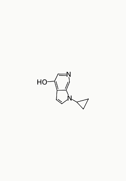 Oc1cncc2c1ccn2C1CC1